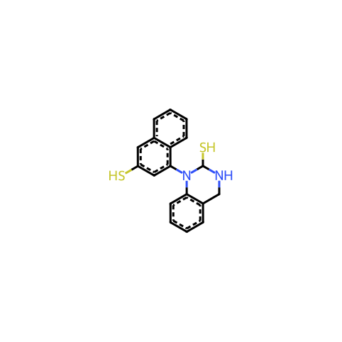 Sc1cc(N2c3ccccc3CNC2S)c2ccccc2c1